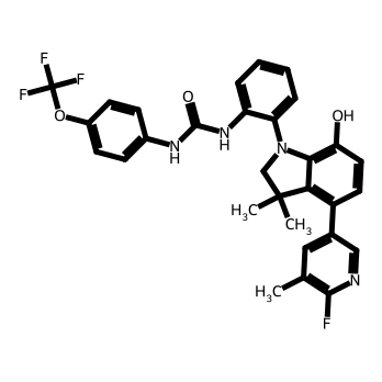 Cc1cc(-c2ccc(O)c3c2C(C)(C)CN3c2ccccc2NC(=O)Nc2ccc(OC(F)(F)F)cc2)cnc1F